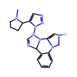 CN1CCCC1c1cnnn1N1C=NC2c3ccccc3N3CN(Cl)C=C3N21